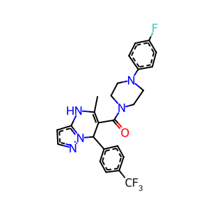 CC1=C(C(=O)N2CCN(c3ccc(F)cc3)CC2)C(c2ccc(C(F)(F)F)cc2)n2nccc2N1